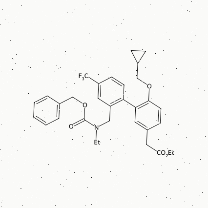 CCOC(=O)Cc1ccc(OCC2CC2)c(-c2ccc(C(F)(F)F)cc2CN(CC)C(=O)OCc2ccccc2)c1